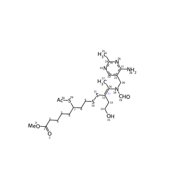 COC(=O)CCCCC(CCSS/C(CCO)=C(\C)N(C=O)Cc1cnc(C)nc1N)SC(C)=O